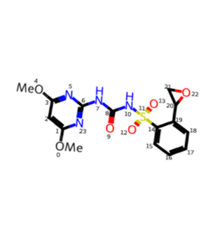 COc1cc(OC)nc(NC(=O)NS(=O)(=O)c2ccccc2C2CO2)n1